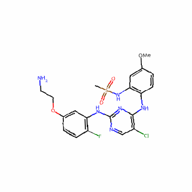 COc1ccc(Nc2nc(Nc3cc(OCCN)ccc3F)ncc2Cl)c(NS(C)(=O)=O)c1